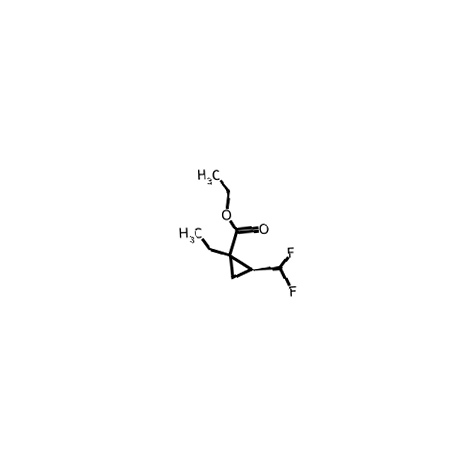 CCOC(=O)C1(CC)C[C@@H]1C(F)F